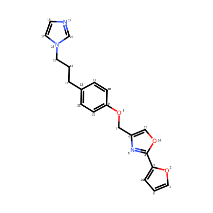 c1coc(-c2nc(COc3ccc(CCCn4ccnc4)cc3)co2)c1